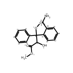 COC(=O)C(O)C(OC)(c1ccccc1)c1ccccc1CN